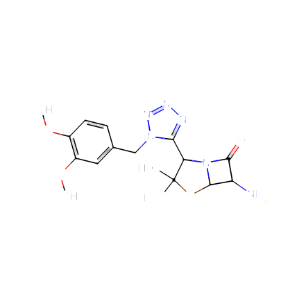 COc1ccc(Cn2nnnc2C2N3C(=O)C(N)C3SC2(C)C)cc1OC